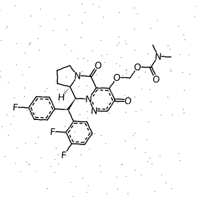 CN(C)C(=O)OCOc1c2n(ncc1=O)[C@@H](C(c1ccc(F)cc1)c1cccc(F)c1F)[C@H]1CCCN1C2=O